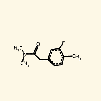 Cc1ccc(CC(=O)N(C)C)cc1F